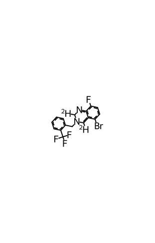 [2H]C1=c2c(Br)ccc(F)c2=NC([2H])N1Cc1ccccc1C(F)(F)F